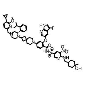 COc1nc(CN2CCN(C3CC4(CCN(c5ccc(C(=O)NS(=O)(=O)c6cnc(NCC7CCC(C)(O)CC7)c([N+](=O)[O-])c6)c(Oc6cnc7[nH]cc(F)c7c6)c5)CC4)C3)[C@H](c3ccccc3C(C)C)C2)ccc1C1CC1